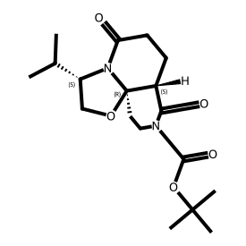 CC(C)[C@H]1CO[C@]23CCN(C(=O)OC(C)(C)C)C(=O)[C@H]2CCC(=O)N13